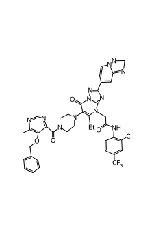 CCc1c(N2CCN(C(=O)c3ncnc(C)c3OCc3ccccc3)CC2)c(=O)n2nc(-c3ccn4ncnc4c3)nc2n1CC(=O)Nc1ccc(C(F)(F)F)cc1Cl